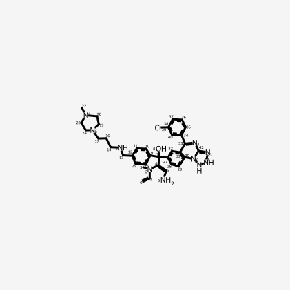 C=CN(C)/C(=C\N)C(O)(c1ccc(CNCCCN2CCN(C)CC2)cc1)c1ccc2c(c1)C(c1cccc(Cl)c1)=NC1=NNNN12